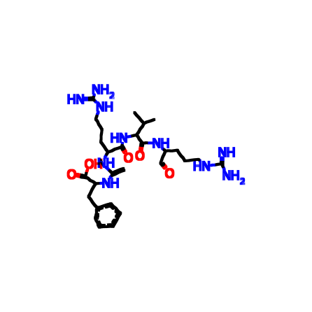 C=C(NC(Cc1ccccc1)C(=O)O)NC(CCCNC(=N)N)C(=O)NC(C(=O)NC(C=O)CCCNC(=N)N)C(C)C